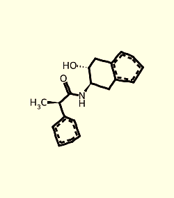 C[C@@H](C(=O)N[C@@H]1Cc2ccccc2C[C@H]1O)c1ccccc1